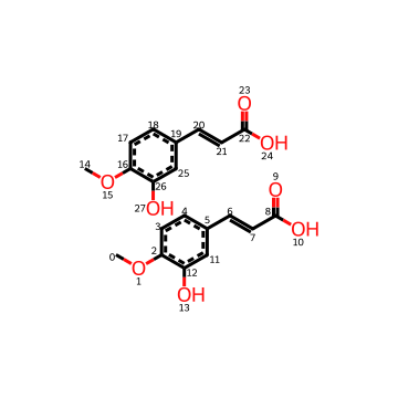 COc1ccc(C=CC(=O)O)cc1O.COc1ccc(C=CC(=O)O)cc1O